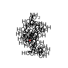 CC(=O)NC1C(OCC(OC2OC(CO)C(O)C(O)C2O)C2OC(OC3C(O)C(CO)OC(OC4(CO)OC(C(O)CO)C(O)C4OC4OC(CO)C(O)C(O)C4O)C3O)C(O)C(O)C2OC2OC(C(O)CO)C(O)C(O)C2OC2OCC(OC(N)=O)C(O)C2O)OC(CO)C(O)C1O